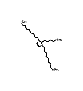 CCCCCCCCCCCCCCCCCCN1C=CN(CCCCCCCCCCCCCCCCCC)C1CCCCCCCCCCCCCC